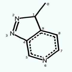 CC1N=Nc2cnccc21